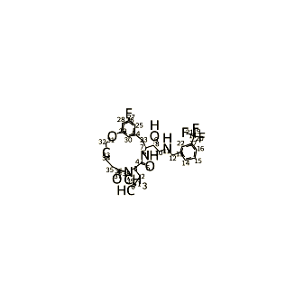 C#CCC1C(=O)N[C@H]([C@H](O)CNCc2cccc(C(F)(F)F)c2)Cc2cc(F)cc(c2)OCCCCC(=O)N1C